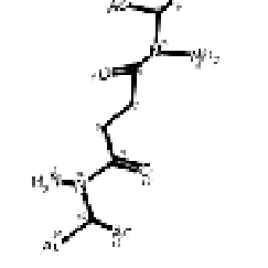 CC(=O)C(C(C)=O)N(N)C(=O)CCC(=O)N(N)C(C(C)=O)C(C)=O